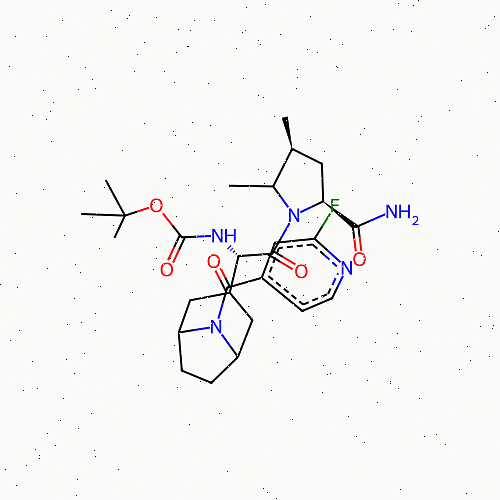 CC1[C@@H](C)C[C@@H](C(N)=O)N1C(=O)[C@@H](NC(=O)OC(C)(C)C)C1CC2CCC(C1)N2C(=O)c1ccnc(F)c1